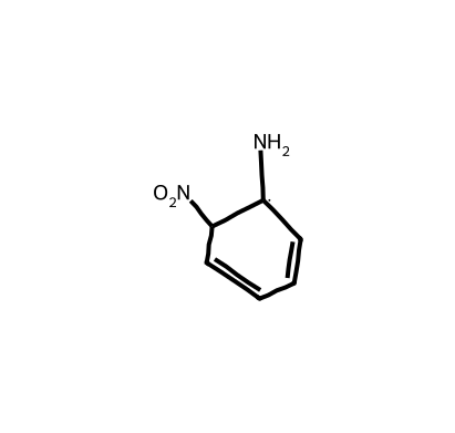 N[C]1C=CC=CC1[N+](=O)[O-]